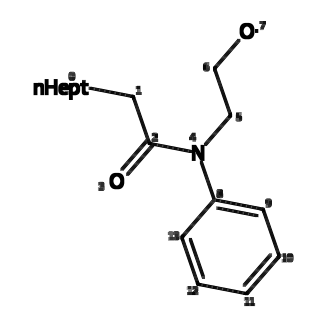 CCCCCCCCC(=O)N(CC[O])c1ccccc1